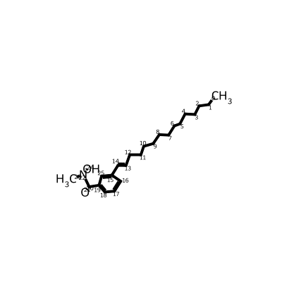 CCCCCCCCCCCCCC=Cc1cccc(C(=O)N(C)O)c1